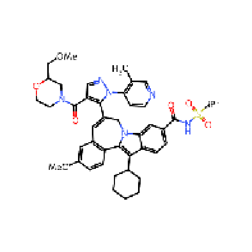 COCC1CN(C(=O)c2cnn(-c3ccncc3C)c2C2=Cc3cc(OC)ccc3-c3c(C4CCCCC4)c4ccc(C(=O)NS(=O)(=O)C(C)C)cc4n3C2)CCO1